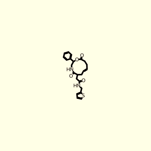 O=C(CC1C/C=C/CCC(=O)OC(c2ccccc2)CNC1=O)NCc1cccs1